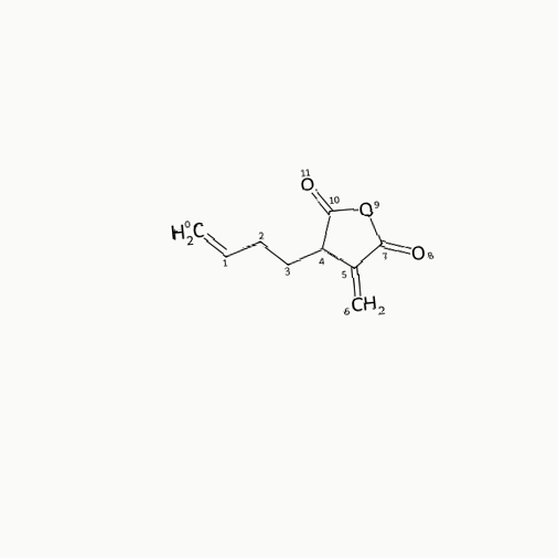 C=CCCC1C(=C)C(=O)OC1=O